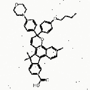 CCCCOc1ccc(C2(c3ccc(N4CCOCC4)cc3)C=Cc3c4c(c5ccc(C)cc5c3O2)-c2cc(C(=O)O)ccc2C4(C)C)cc1